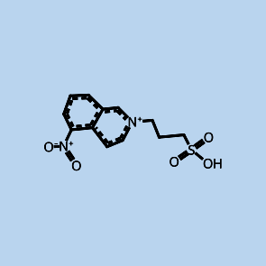 O=[N+]([O-])c1cccc2c[n+](CCCS(=O)(=O)O)ccc12